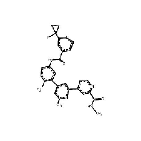 CNC(=O)c1cc(-c2cc(-c3cc(NC(=O)c4ccnc(C5(F)CC5)c4)ccc3C)cc(C)n2)ccn1